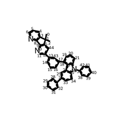 CC1(C)c2cccnc2-c2ncc(-c3cccc(-c4cccc5c4c4cc(-c6ccccc6)ccc4n5-c4ccccc4)c3)cc21